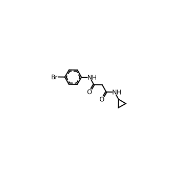 O=C(CC(=O)NC1CC1)Nc1ccc(Br)cc1